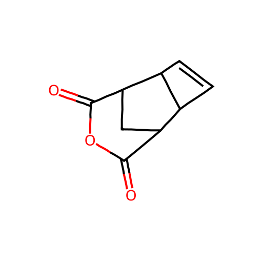 O=C1OC(=O)C2CC1C1C=CC21